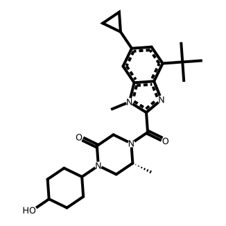 C[C@@H]1CN(C2CCC(O)CC2)C(=O)CN1C(=O)c1nc2c(C(C)(C)C)cc(C3CC3)cc2n1C